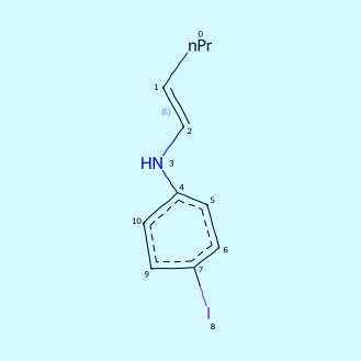 [CH2]CC/C=C/Nc1ccc(I)cc1